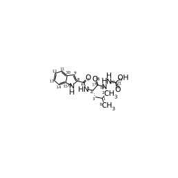 CC(C)C[C@H](NC(=O)c1cc2ccccc2[nH]1)C(=O)NNC(=O)O